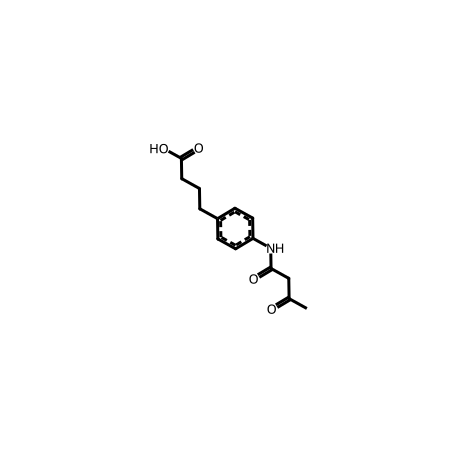 CC(=O)CC(=O)Nc1ccc(CCCC(=O)O)cc1